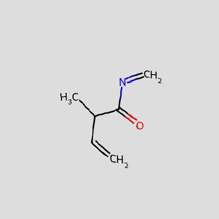 C=CC(C)C(=O)N=C